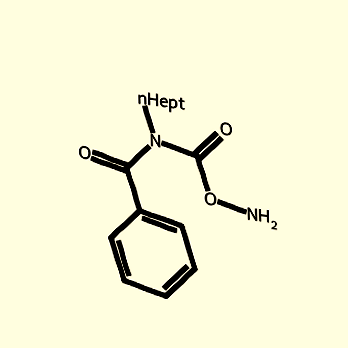 CCCCCCCN(C(=O)ON)C(=O)c1ccccc1